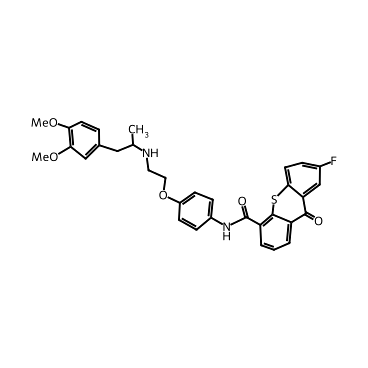 COc1ccc(CC(C)NCCOc2ccc(NC(=O)c3cccc4c(=O)c5cc(F)ccc5sc34)cc2)cc1OC